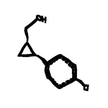 OC[C@H]1C[C@@H]1c1ccc(Cl)cc1